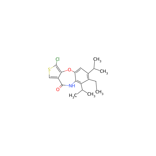 CCc1c(C(C)C)cc2c(c1C(C)C)NC(=O)c1csc(Cl)c1O2